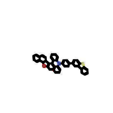 C1=CC2c3c(cccc3-c3ccccc3N(c3ccccc3)c3ccc(-c4ccc5sc6ccccc6c5c4)cc3)OC2c2ccccc21